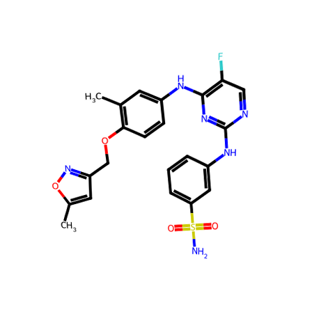 Cc1cc(COc2ccc(Nc3nc(Nc4cccc(S(N)(=O)=O)c4)ncc3F)cc2C)no1